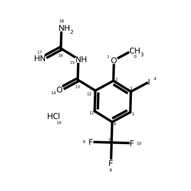 COc1c(I)cc(C(F)(F)F)cc1C(=O)NC(=N)N.Cl